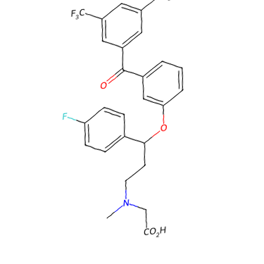 CN(CCC(Oc1cccc(C(=O)c2cc(C(F)(F)F)cc(C(F)(F)F)c2)c1)c1ccc(F)cc1)CC(=O)O